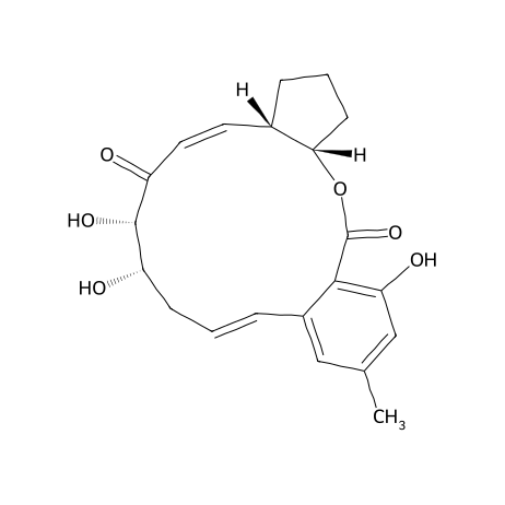 Cc1cc(O)c2c(c1)/C=C/C[C@H](O)[C@H](O)C(=O)/C=C\[C@@H]1CCC[C@@H]1OC2=O